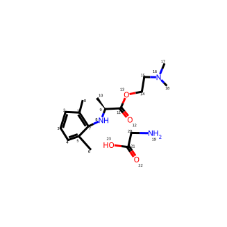 Cc1cccc(C)c1N[C@@H](C)C(=O)OCCN(C)C.NCC(=O)O